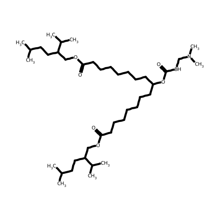 CC(C)CCC(COC(=O)CCCCCCCC(CCCCCCCC(=O)OCC(CCC(C)C)C(C)C)OC(=O)BCN(C)C)C(C)C